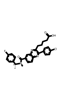 C[C@H](c1ccc(F)cc1)N(C)C(=O)c1ccc2nc(-c3ccc(Cl)cc3)c(CCCCC(=O)O)nc2c1